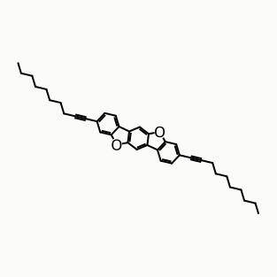 CCCCCCCCC#Cc1ccc2c(c1)oc1cc3c(cc12)oc1cc(C#CCCCCCCCC)ccc13